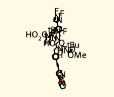 COC(=O)NC(C(=O)NC(Cc1ccc(C#Cc2ccc(N3CC4CCC(C3)N4C3COC3)nc2)cc1)C(O)CN(Cc1c(F)cc(-c2ccn(C(F)F)n2)cc1F)NC(=O)C(NC(=O)O)C(C)(C)C)C(C)(C)C